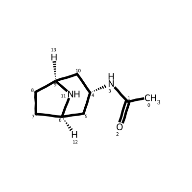 CC(=O)N[C@@H]1C[C@H]2CC[C@@H](C1)N2